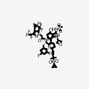 CC(C)(C#Cc1ccc(-c2ccc(Cl)c3c(NS(C)(=O)=O)nn(C4COC4)c23)c([C@H](Cc2cc(F)cc(F)c2)NC(=O)Cn2nc(C(F)(F)F)c3c2C(F)(F)[C@@H]2CC32)n1)S(=O)(=O)C1CC1